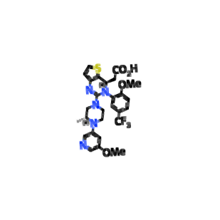 COc1cncc(N2CCN(C3=Nc4ccsc4[C@@H](CC(=O)O)N3c3cc(C(F)(F)F)ccc3OC)C[C@H]2C)c1